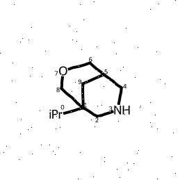 CC(C)C12CNCC(COC1)C2